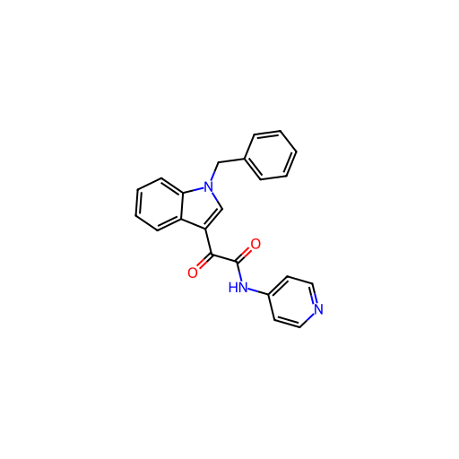 O=C(Nc1ccncc1)C(=O)c1cn(Cc2ccccc2)c2ccccc12